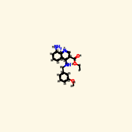 CCOC(=O)c1cnc2c(N)cccc2c1NCc1cccc(OC)c1